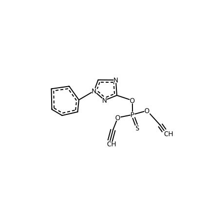 C#COP(=S)(OC#C)Oc1ncn(-c2ccccc2)n1